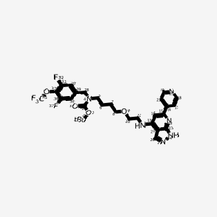 CC(C)(C)OC(=O)N(CCCCOCCNc1cc(-c2ccncc2)nc2[nH]ncc12)Cc1cc(F)c(OC(F)(F)F)c(F)c1